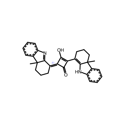 CC12CCC/C(=C3\C(=O)C(C4=C5Nc6ccccc6C5(C)CCC4)=C3O)C1=Nc1ccccc12